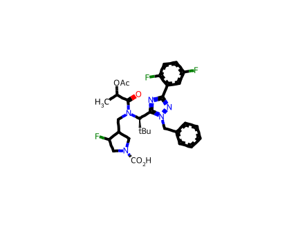 CC(=O)OC(C)C(=O)N(CC1CN(C(=O)O)CC1F)[C@@H](c1nc(-c2cc(F)ccc2F)nn1Cc1ccccc1)C(C)(C)C